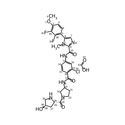 COc1ccc(-c2cnc(C(=O)Nc3ccc(C(=O)NC4CCN(C(=O)[C@@H]5C[C@@H](O)CN5)C4)c(Cl)c3)n2C)c(F)c1F.O=CO